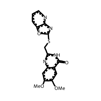 COc1cc2nc(CSc3nc4ncccc4o3)[nH]c(=O)c2cc1OC